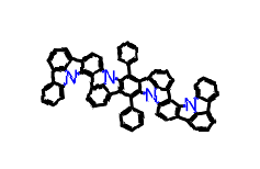 c1ccc(-c2c3c4cccc5c6c(ccc7c8cccc9c%10ccccc%10n(c98)c76)n(c3c(-c3ccccc3)c3c6cccc7c8c(ccc9c%10cccc%11c%12ccccc%12n(c%11%10)c98)n(c23)c67)c45)cc1